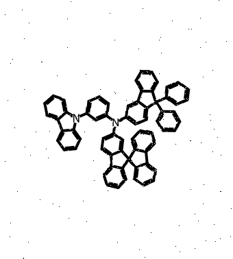 c1ccc(C2(c3ccccc3)c3ccccc3-c3cc(N(c4cccc(-n5c6ccccc6c6ccccc65)c4)c4ccc5c(c4)C4(c6ccccc6-c6ccccc64)c4ccccc4-5)ccc32)cc1